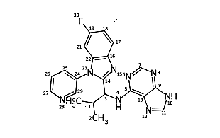 CC(C)C(Nc1ncnc2[nH]cnc12)c1nc2ccc(F)cc2n1-c1cccnc1